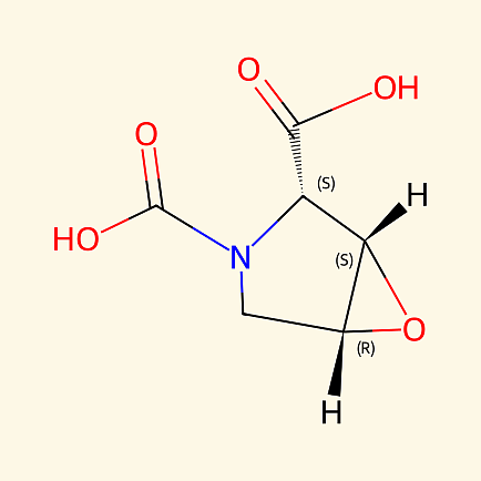 O=C(O)[C@@H]1[C@@H]2O[C@@H]2CN1C(=O)O